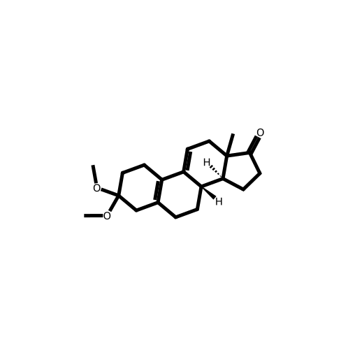 COC1(OC)CCC2=C(CC[C@@H]3C2=CCC2(C)C(=O)CC[C@@H]32)C1